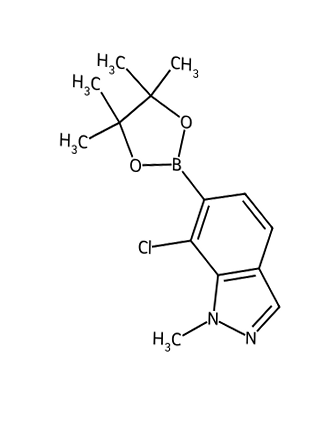 Cn1ncc2ccc(B3OC(C)(C)C(C)(C)O3)c(Cl)c21